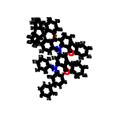 c1ccc(-c2cccc(N(c3ccccc3)c3cc(N(c4cccc5c4Sc4ccccc4C54c5ccccc5-c5ccccc54)c4cccc5c4oc4ccccc45)cc4c3oc3ccccc34)c2)cc1